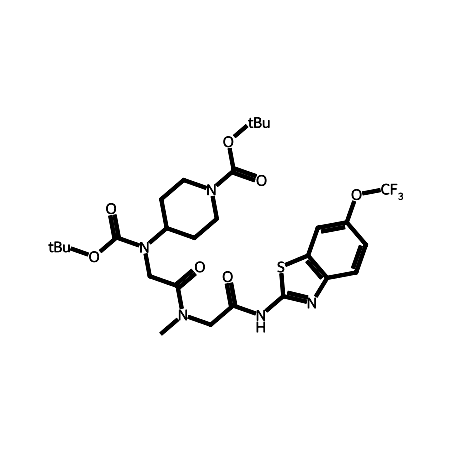 CN(CC(=O)Nc1nc2ccc(OC(F)(F)F)cc2s1)C(=O)CN(C(=O)OC(C)(C)C)C1CCN(C(=O)OC(C)(C)C)CC1